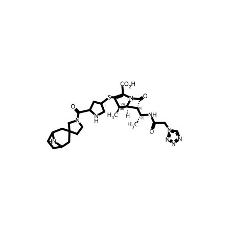 C[C@@H](NC(=O)Cn1cnnn1)[C@H]1C(=O)N2C(C(=O)O)=C(SC3CNC(C(=O)N4CCC5(CC6CCC(C5)N6)C4)C3)[C@H](C)[C@H]12